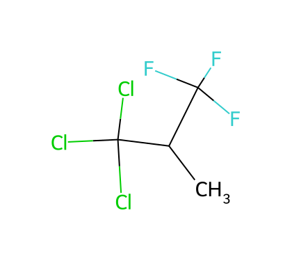 CC(C(F)(F)F)C(Cl)(Cl)Cl